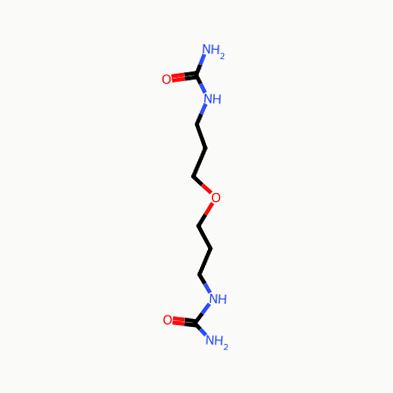 NC(=O)NCCCOCCCNC(N)=O